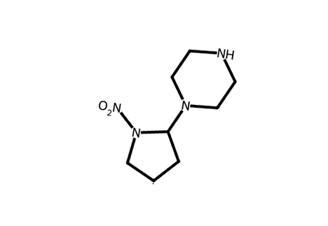 O=[N+]([O-])N1C[CH]CC1N1CCNCC1